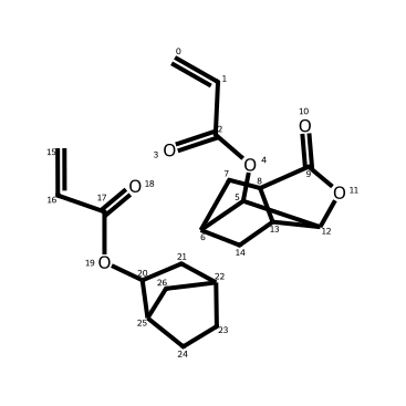 C=CC(=O)OC1C2CC3C(=O)OC1C3C2.C=CC(=O)OC1CC2CCC1C2